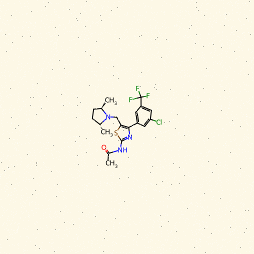 CC(=O)Nc1nc(-c2cc(Cl)cc(C(F)(F)F)c2)c(CN2[C@H](C)CC[C@H]2C)s1